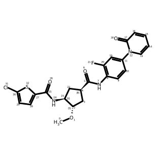 CO[C@H]1C[C@H](C(=O)Nc2ccc(-n3ccccc3=O)cc2F)C[C@@H]1NC(=O)c1ccc(Cl)s1